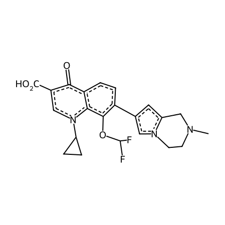 CN1CCn2cc(-c3ccc4c(=O)c(C(=O)O)cn(C5CC5)c4c3OC(F)F)cc2C1